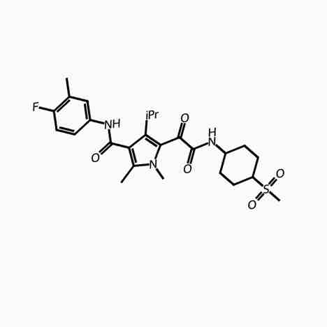 Cc1cc(NC(=O)c2c(C(C)C)c(C(=O)C(=O)NC3CCC(S(C)(=O)=O)CC3)n(C)c2C)ccc1F